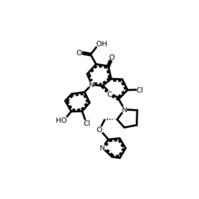 O=C(O)c1cn(-c2ccc(O)c(Cl)c2)c2cc(N3CCC[C@@H]3COc3ccccn3)c(Cl)cc2c1=O